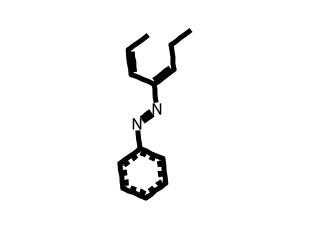 C\C=C/C(=C\CC)/N=N/c1ccccc1